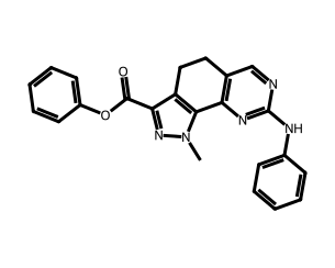 Cn1nc(C(=O)Oc2ccccc2)c2c1-c1nc(Nc3ccccc3)ncc1CC2